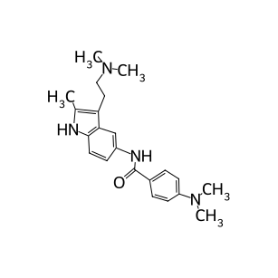 Cc1[nH]c2ccc(NC(=O)c3ccc(N(C)C)cc3)cc2c1CCN(C)C